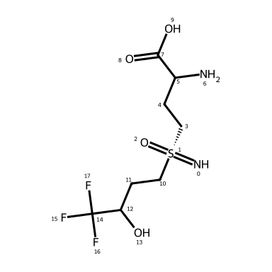 N=[S@@](=O)(CCC(N)C(=O)O)CCC(O)C(F)(F)F